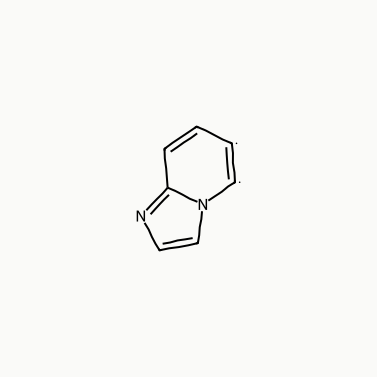 [c]1[c]n2ccnc2cc1